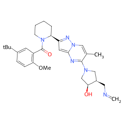 C=NC[C@@H]1CN(c2nc3cc([C@@H]4CCCCN4C(=O)c4cc(C(C)(C)C)ccc4OC)nn3cc2C)C[C@@H]1O